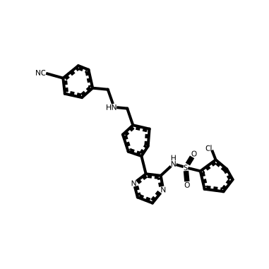 N#Cc1ccc(CNCc2ccc(-c3nccnc3NS(=O)(=O)c3ccccc3Cl)cc2)cc1